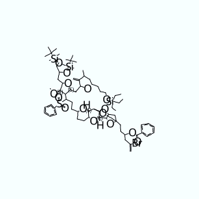 C=C(Br)CC(CCC12CC3OC4C(O1)[C@H]1OC(CCC(C5[C@@H](OC)C(CC(CO[Si](C)(C)C(C)(C)C)O[Si](C)(C)C(C)(C)C)O[C@H]5CC5OC(CCCO[Si](CC)(CC)CC)CC(C)C5=C)S(=O)(=O)c5ccccc5)CCC1O[C@H]4C3O2)OC(=O)c1ccccc1